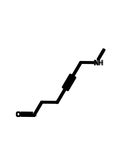 CNCC#CCC[C]=O